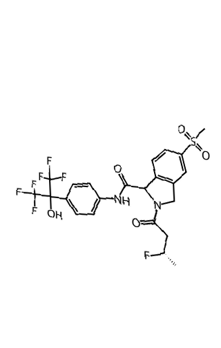 C[C@H](F)CC(=O)N1Cc2cc(S(C)(=O)=O)ccc2C1C(=O)Nc1ccc(C(O)(C(F)(F)F)C(F)(F)F)cc1